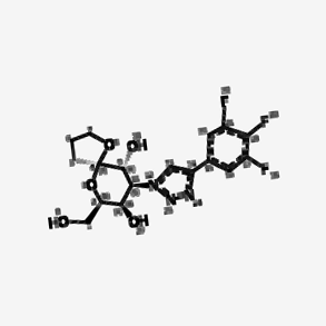 OC[C@H]1O[C@]2(CCCO2)[C@H](O)[C@@H](n2cc(-c3cc(F)c(F)c(F)c3)nn2)[C@H]1O